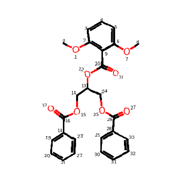 COc1cccc(OC)c1C(=O)OC(COC(=O)c1ccccc1)COC(=O)c1ccccc1